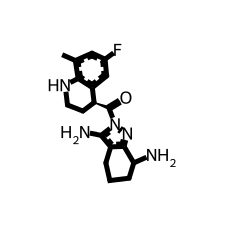 Cc1cc(F)cc2c1NCC[C@@H]2C(=O)n1nc2c(c1N)CCCC2N